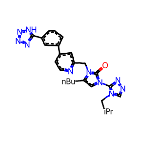 CCCCc1cn(-c2nncn2CC(C)C)c(=O)n1Cc1cc(-c2cccc(-c3nnn[nH]3)c2)ccn1